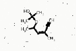 C#CC(C)=CC(C)OC(C)(C)O